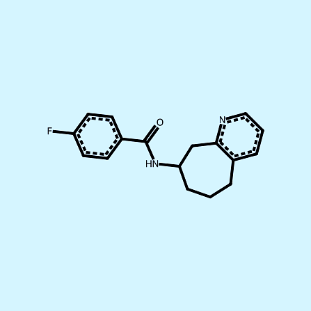 O=C(NC1CCCc2cccnc2C1)c1ccc(F)cc1